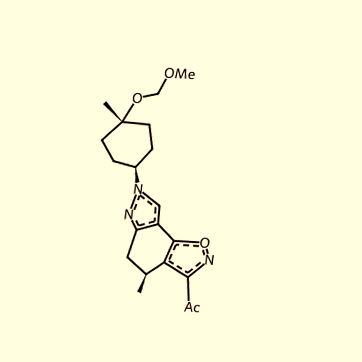 COCO[C@]1(C)CC[C@@H](n2cc3c(n2)C[C@H](C)c2c(C(C)=O)noc2-3)CC1